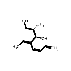 C=C/C=C\C(=C/C)[C@H](O)[C@@H](C)CO